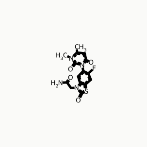 Cc1cc(=O)n(-c2cc3c(cc2F)sc(=O)n3CC(N)=O)c(=O)n1C